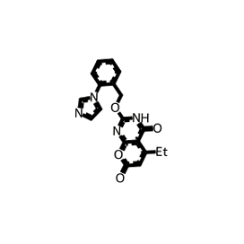 CCc1cc(=O)oc2nc(OCc3ccccc3-n3ccnc3)[nH]c(=O)c12